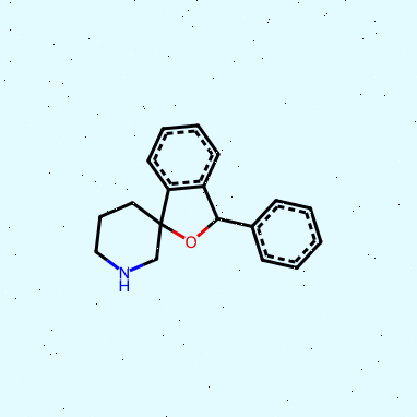 c1ccc(C2OC3(CCCNC3)c3ccccc32)cc1